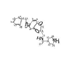 CC(NCC1COc2ccc(OCc3ccccc3)cc2O1)C1CCNCC1